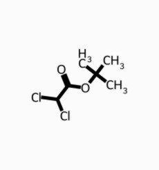 CC(C)(C)OC(=O)C(Cl)Cl